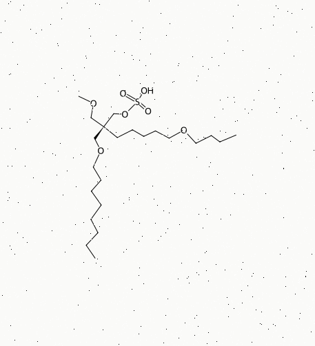 CCCCCCCCOC[C@@](CCCCCOCCCC)(COC)COS(=O)(=O)O